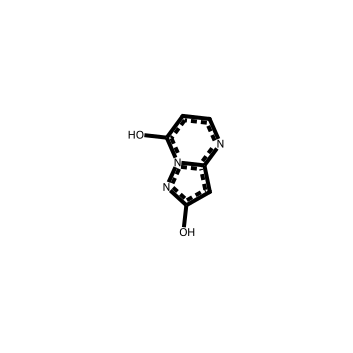 Oc1cc2nccc(O)n2n1